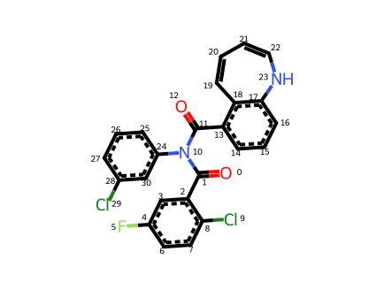 O=C(c1cc(F)ccc1Cl)N(C(=O)c1cccc2c1C=CC=CN2)c1cccc(Cl)c1